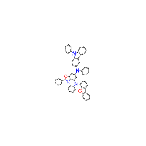 c1ccc(-c2nc3c(N(c4ccccc4)c4cccc5c4oc4ccccc45)cc(N(c4ccccc4)c4ccc5c(c4)c4ccccc4n5-c4ccccc4)cc3o2)cc1